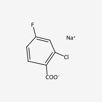 O=C([O-])c1ccc(F)cc1Cl.[Na+]